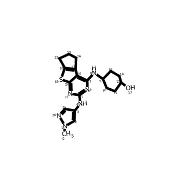 Cn1cc(Nc2nc(NC3CCC(O)CC3)c3c4c(sc3n2)CCC4)cn1